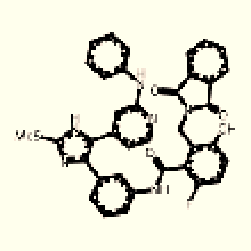 CSc1nc(-c2cccc(NC(=O)c3c(F)ccc(O)c3CN3C(=O)c4ccccc4C3=O)c2)c(-c2ccnc(Nc3ccccc3)c2)[nH]1